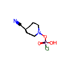 N#CC1CCN(OP(=O)(O)Cl)CC1